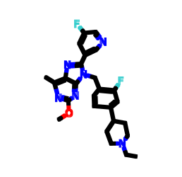 CCN1CCC(c2ccc(Cn3c(-c4cncc(F)c4)nc4c(C)nc(OC)nc43)c(F)c2)CC1